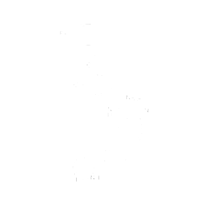 CCNC(C[S+](C)[O-])c1ccc(-c2ccc3ncnc(Nc4ccc(OCc5cccc(F)c5)c(Cl)c4)c3c2)o1